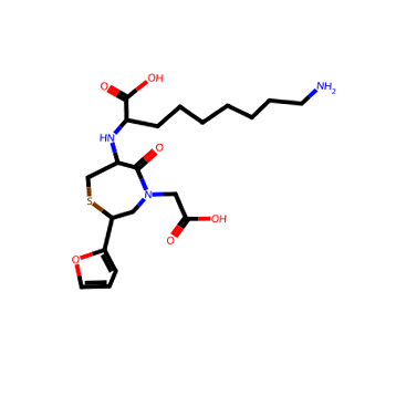 NCCCCCCCC(NC1CSC(c2ccco2)CN(CC(=O)O)C1=O)C(=O)O